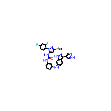 CC(C)(C)c1cc(NC(=O)Nc2cccc(Nc3ccc4c(-c5cn[nH]c5)n[nH]c4c3)c2)n(-c2ccc(F)cc2F)n1